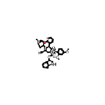 CCOc1ncccc1C1C(=O)[N+](C(=O)OC2CNc3ccccc32)(S(=O)(=O)c2ccc(OC)cc2OC)CC(C#N)N1C1CCN(C)CC1